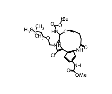 COC(=O)Nc1ccc2c(c1)NC(=O)CCC=CCC(NC(=O)OC(C)(C)C)c1nc-2c(Cl)n1COCC[Si](C)(C)C